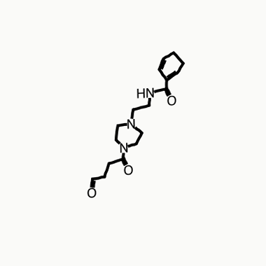 O=CCCC(=O)N1CCN(CCNC(=O)C2=CCCC=C2)CC1